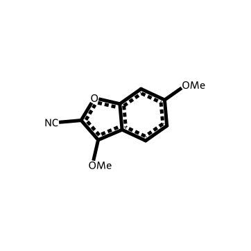 COc1ccc2c(OC)c(C#N)oc2c1